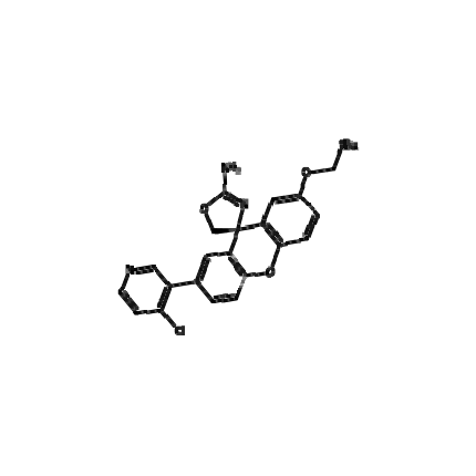 CC(C)(C)COc1ccc2c(c1)[C@]1(COC(N)=N1)c1cc(-c3cnccc3Cl)ccc1O2